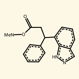 CNOC(=O)CC(c1ccccc1)c1cccc2cn[nH]c12